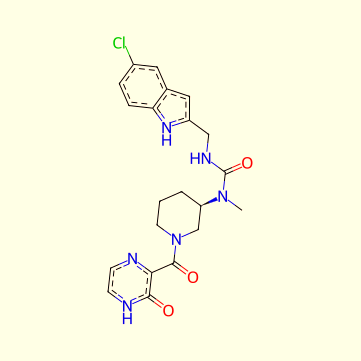 CN(C(=O)NCc1cc2cc(Cl)ccc2[nH]1)[C@@H]1CCCN(C(=O)c2ncc[nH]c2=O)C1